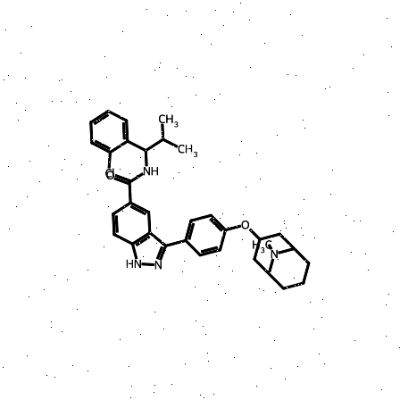 CC(C)C(NC(=O)c1ccc2[nH]nc(-c3ccc(OC4CC5CCCC(C4)N5C)cc3)c2c1)c1ccccc1Cl